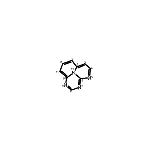 C1=CC2=CC=NC3=NC=NC(=C1)N23